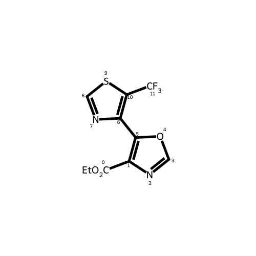 CCOC(=O)c1ncoc1-c1ncsc1C(F)(F)F